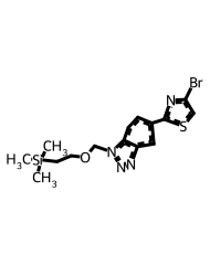 C[Si](C)(C)CCOCn1nnc2cc(-c3nc(Br)cs3)ccc21